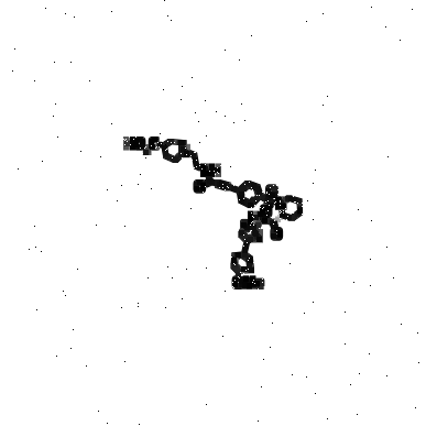 COc1ccc(-c2csc(NC(=O)[C@H]3CCCCN3S(=O)(=O)c3ccc(C#CC(=O)NCCN4CCC(C(=O)O)CC4)cc3)n2)cc1